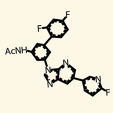 CC(=O)Nc1cc(-c2ccc(F)cc2F)cc(-n2cnc3cc(-c4ccc(F)nc4)cnc32)c1